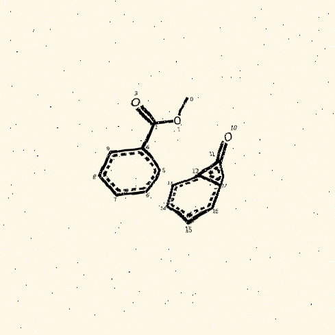 COC(=O)c1ccccc1.O=c1c2ccccc12